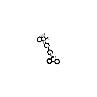 O=C(c1ccccc1C1CCCCC1)N1CCC(N2CCC(N3C(=O)N[C@H]4CCCC[C@@H]43)CC2)CC1